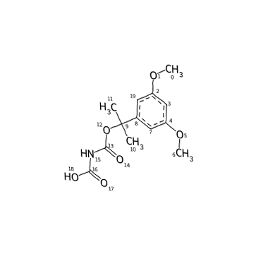 COc1cc(OC)cc(C(C)(C)OC(=O)NC(=O)O)c1